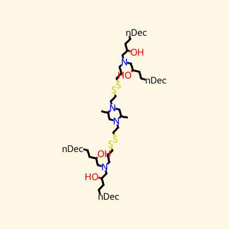 CCCCCCCCCCCCC(O)CN(CCCSSCCN1CC(C)N(CCSSCCCN(CC(O)CCCCCCCCCCCC)CC(O)CCCCCCCCCCCC)CC1C)CC(O)CCCCCCCCCCCC